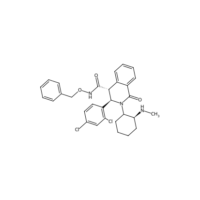 CN[C@H]1CCCCC1N1C(=O)c2ccccc2[C@@H](C(=O)NOCc2ccccc2)[C@@H]1c1ccc(Cl)cc1Cl